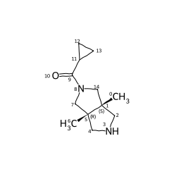 C[C@@]12CNC[C@]1(C)CN(C(=O)C1CC1)C2